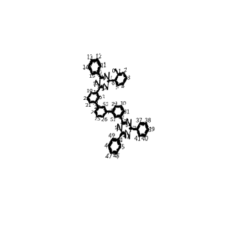 Cc1ccccc1-c1nc(-c2ccccc2)nc(-c2cccc(-c3cccc(-c4cccc(-c5nc(-c6ccccc6)nc(-c6ccccc6)n5)c4)c3)c2)n1